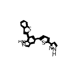 c1ccc2sc(-c3cc(-c4ccc(-c5cc[nH]n5)s4)cc4cn[nH]c34)cc2c1